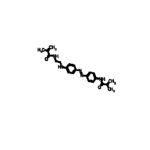 C=C(C)C(=O)NCCNc1ccc(N=Nc2ccc(NC(=O)C(=C)C)cc2)cc1